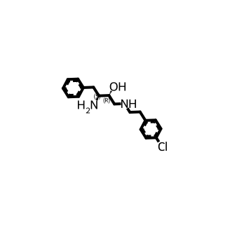 N[C@@H](Cc1ccccc1)[C@H](O)CNCCc1ccc(Cl)cc1